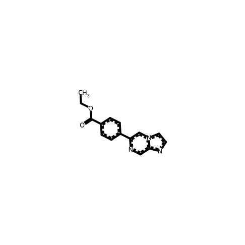 CCOC(=O)c1ccc(-c2cn3ccnc3cn2)cc1